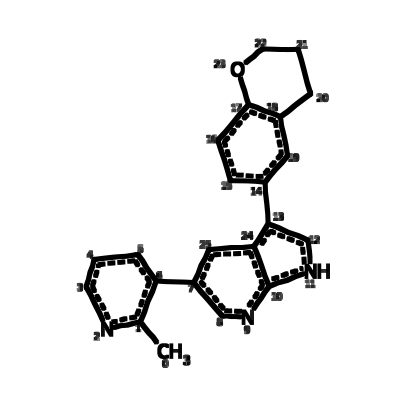 Cc1ncccc1-c1cnc2[nH]cc(-c3ccc4c(c3)CCCO4)c2c1